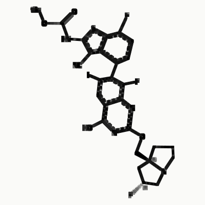 CC(C)(C)OC(=O)Nc1sc2c(F)ccc(-c3c(I)cc4c(O)nc(OC[C@@]56CCCN5C[C@H](F)C6)nc4c3F)c2c1C#N